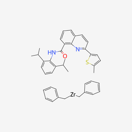 Cc1ccc(-c2ccc3cccc(C(=O)Nc4c(C(C)C)cccc4C(C)C)c3n2)s1.c1ccc([CH2][Zr][CH2]c2ccccc2)cc1